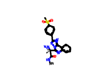 CCCNC(=O)[C@@](C)(N)c1nc2ccccc2c2nc(-c3ccc(S(C)(=O)=O)cc3)nn12